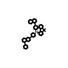 CC1(C)c2ccccc2-c2c(N(c3ccc(-c4ccc5c(-c6ccccc6)cccc5c4)cc3)c3ccc(-c4cccc5ccccc45)cc3)cccc21